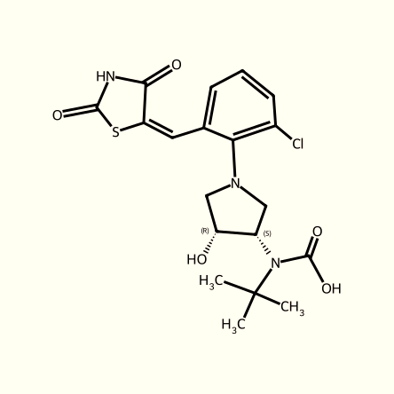 CC(C)(C)N(C(=O)O)[C@H]1CN(c2c(Cl)cccc2C=C2SC(=O)NC2=O)C[C@H]1O